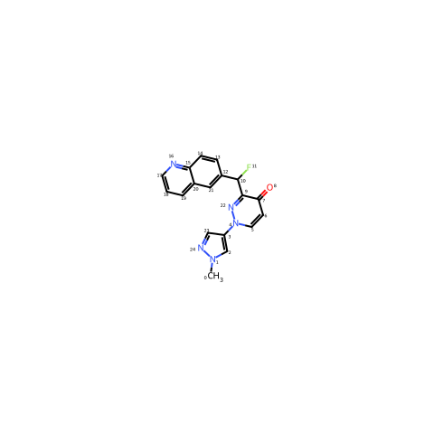 Cn1cc(-n2ccc(=O)c(C(F)c3ccc4ncccc4c3)n2)cn1